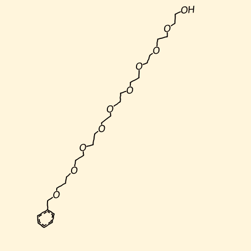 OCCOCCOCCOCCOCCOCCOCCOCCOCCCOCc1ccccc1